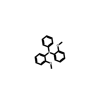 COc1ccccc1P(c1ccccc1)c1ccccc1OC